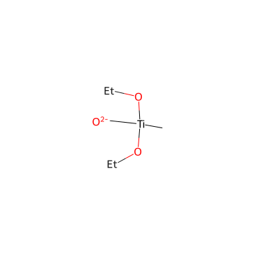 CC[O][Ti]([CH3])([CH3])[O]CC.[O-2]